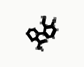 NC(=O)C1CCCCN1c1cccc(Cl)c1C=O